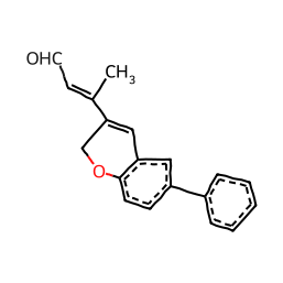 CC(=CC=O)C1=Cc2cc(-c3ccccc3)ccc2OC1